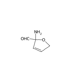 NC1(C=O)C=CCO1